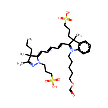 CCCC1(C)C(C)=NN(CCCS(=O)(=O)O)\C1=C/C=C/C=C/C1=[N+](CCCCCOC=O)c2ccccc2C1(C)CCCS(=O)(=O)O